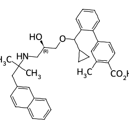 Cc1cc(-c2ccccc2C(OC[C@H](O)CNC(C)(C)Cc2ccc3ccccc3c2)C2CC2)ccc1C(=O)O